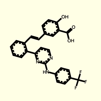 O=C(O)c1cc(C=Cc2ccccc2-c2ccnc(Nc3ccc(C(F)(F)F)cc3)n2)ccc1O